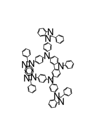 c1ccc(-c2nc3ccccc3n2-c2ccc(N(c3ccc(-n4c(-c5ccccc5)nc5ccccc54)cc3)c3ccc4c(c3)c3cc(N(c5ccc(-n6c(-c7ccccc7)nc7ccccc76)cc5)c5ccc(-n6c(-c7ccccc7)nc7ccccc76)cc5)ccc3n4-c3ccccc3)cc2)cc1